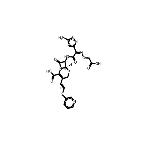 Nc1nc(/C(=N/OCC(=O)O)C(=O)NC2C(=O)N3C(C(=O)O)=C(/C=C/Sc4cccnc4)CS[C@H]23)ns1